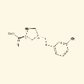 COC(=O)[C@@H]1C[C@@H](COc2cccc(C)c2)CN1